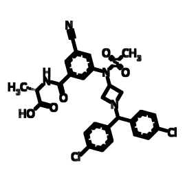 C[C@H](NC(=O)c1cc(C#N)cc(N(C2CN(C(c3ccc(Cl)cc3)c3ccc(Cl)cc3)C2)S(C)(=O)=O)c1)C(=O)O